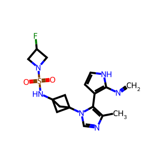 C=Nc1[nH]ccc1-c1c(C)ncn1C12CC(NS(=O)(=O)N3CC(F)C3)(C1)C2